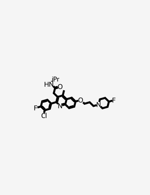 Cc1c(CC(=O)NC(C)C)c(-c2ccc(F)c(Cl)c2)nc2ccc(OCCCN3CCC(F)CC3)cc12